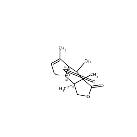 CC1=CC[C@@]23OC(=O)C[C@@]12C(O)C1(C)C(=O)OC[C@]13C